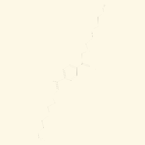 C=C(COCCOCCOCCCC)c1ccc(C(C)=COCCOCCOCCCC)cc1